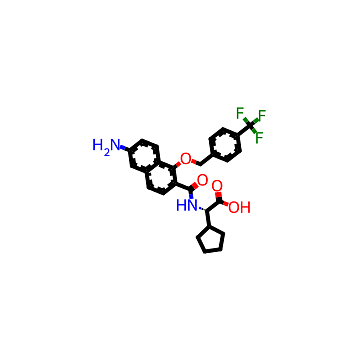 Nc1ccc2c(OCc3ccc(C(F)(F)F)cc3)c(C(=O)N[C@H](C(=O)O)C3CCCC3)ccc2c1